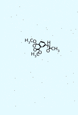 COC(=O)c1ccc(NC(C)=O)cc1C(=O)OC